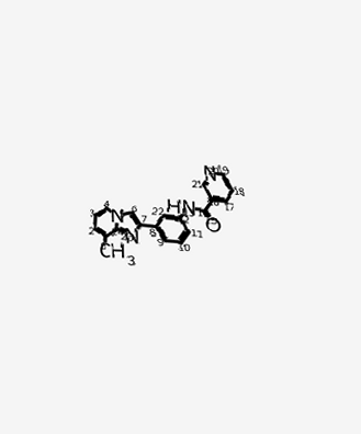 Cc1cccn2cc(-c3cccc(NC(=O)c4cccnc4)c3)nc12